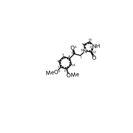 COc1ccc(C(=O)Cn2cc[nH]c2=O)cc1OC